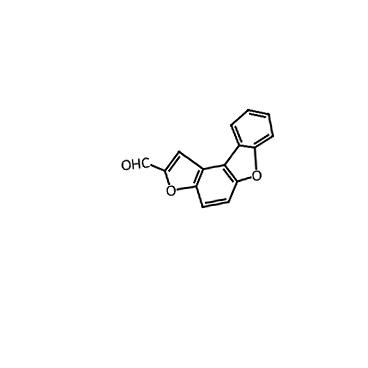 O=Cc1cc2c(ccc3oc4ccccc4c32)o1